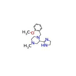 COc1ccccc1CN1CCN(C)CC1C1=NCCN1